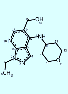 CCn1ncc2c(NC3CCOCC3)c(CO)cnc21